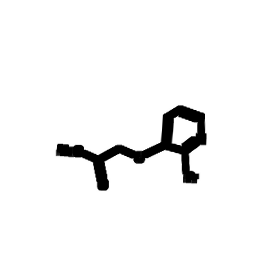 COC(=O)COc1cccnc1C(C)C